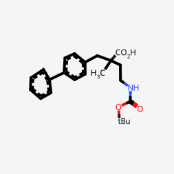 CC(C)(C)OC(=O)NCCC(C)(Cc1ccc(-c2ccccc2)cc1)C(=O)O